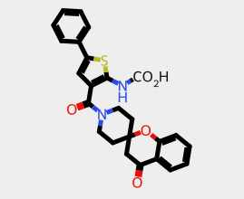 O=C(O)Nc1sc(-c2ccccc2)cc1C(=O)N1CCC2(CC1)CC(=O)c1ccccc1O2